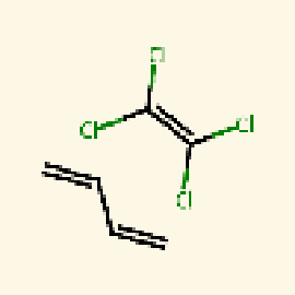 C=CC=C.ClC(Cl)=C(Cl)Cl